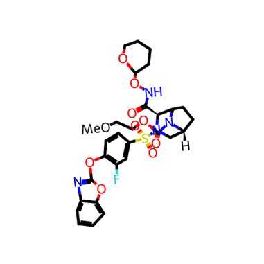 COCCOC(=O)N1C2CC[C@@H]1CN(S(=O)(=O)c1ccc(Oc3nc4ccccc4o3)c(F)c1)[C@H]2C(=O)NOC1CCCCO1